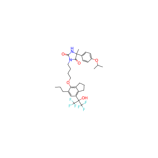 CCCc1cc(C(O)(C(F)(F)F)C(F)(F)F)c2c(c1OCCCCN1C(=O)NC(C)(c3ccc(OC(C)C)cc3)C1=O)CCC2